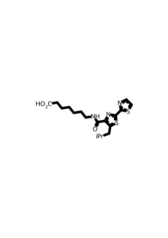 CC(C)Cc1sc(-c2nccs2)nc1C(=O)NCCCCCCC(=O)O